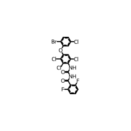 O=C(NC(=O)c1c(F)cccc1F)Nc1c(Cl)cc(Oc2cc(Cl)ccc2Br)c(Cl)c1Cl